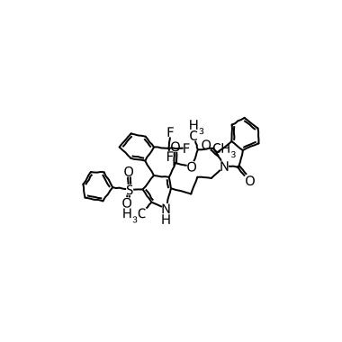 CC1=C(S(=O)(=O)c2ccccc2)C(c2ccccc2C(F)(F)F)C(C(=O)OC(C)C)=C(CCCN2C(=O)c3ccccc3C2=O)N1